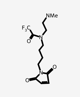 CNCCN(CCCCN1C(=O)C=CC1=O)C(=O)C(F)(F)F